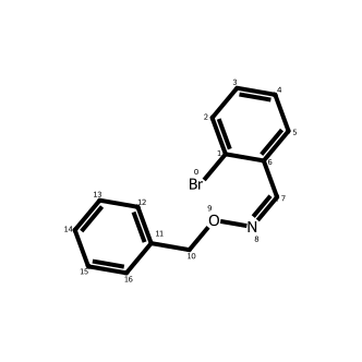 Brc1ccccc1/[C]=N\OCc1ccccc1